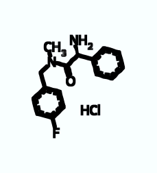 CN(Cc1ccc(F)cc1)C(=O)[C@@H](N)c1ccccc1.Cl